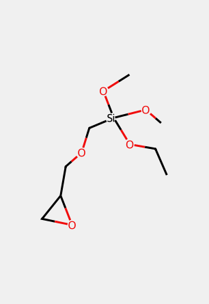 CCO[Si](COCC1CO1)(OC)OC